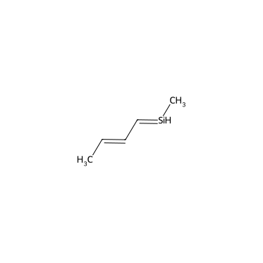 CC=CC=[SiH]C